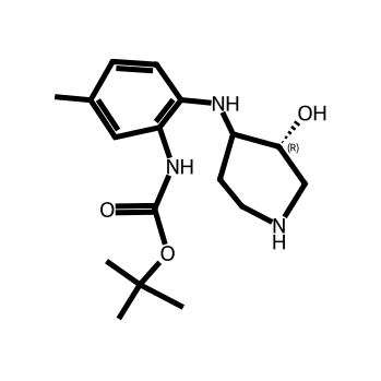 Cc1ccc(NC2CCNC[C@H]2O)c(NC(=O)OC(C)(C)C)c1